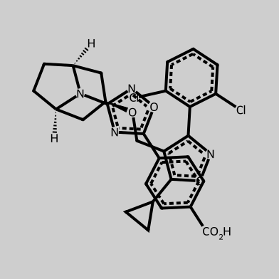 O=C(O)c1ccc(-c2nc(N3[C@@H]4CC[C@H]3C[C@@H](OCc3c(-c5c(Cl)cccc5Cl)noc3C3CC3)C4)no2)cc1